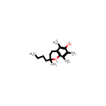 CCCCC1(C)CCc2c(C)c(O)c(C)c(C)c2O1